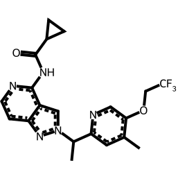 Cc1cc(C(C)n2cc3c(NC(=O)C4CC4)nccc3n2)ncc1OCC(F)(F)F